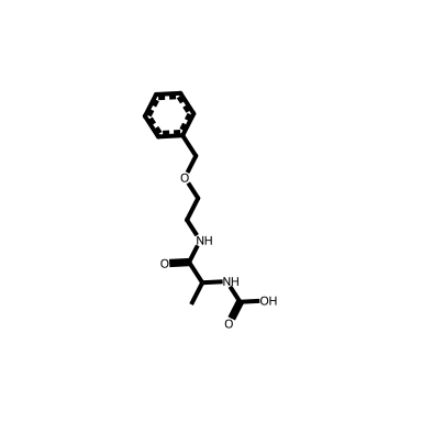 CC(NC(=O)O)C(=O)NCCOCc1ccccc1